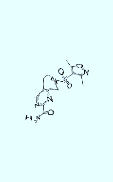 Cc1noc(C)c1S(=O)(=O)N1CCc2[c]nc(C(N)=O)nc2C1